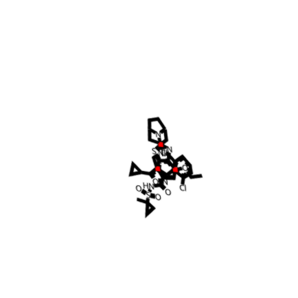 CCOc1cc(C(=O)NS(=O)(=O)C2(C)CC2)cc2sc(N3C4CCC3CC(NCc3c(-c5c(Cl)cccc5Cl)noc3C3CC3)C4)nc12